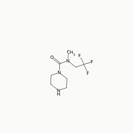 CN(CC(F)(F)F)C(=O)N1CCNCC1